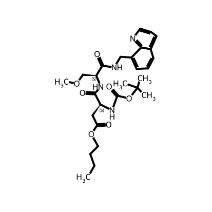 CCCCOC(=O)C[C@H](NC(=O)OC(C)(C)C)C(=O)N[C@@H](COC)C(=O)NCc1cccc2cccnc12